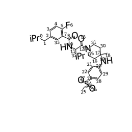 CC(C)Cc1ccc(F)c(C(=O)NC(C(=O)N2CCC(C)(Nc3ccc(S(C)(=O)=O)cc3)CC2)C(C)C)c1